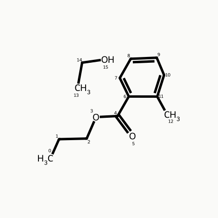 CCCOC(=O)c1ccccc1C.CCO